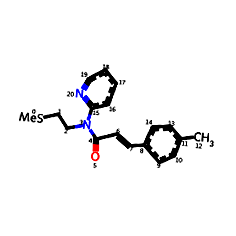 CSCCN(C(=O)C=Cc1ccc(C)cc1)c1ccccn1